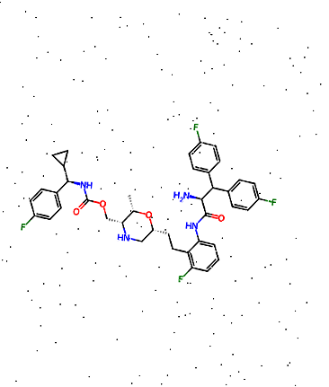 C[C@@H]1O[C@H](CCc2c(F)cccc2NC(=O)[C@@H](N)C(c2ccc(F)cc2)c2ccc(F)cc2)CN[C@@H]1COC(=O)N[C@@H](c1ccc(F)cc1)C1CC1